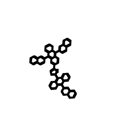 C1=CCC2CCC(c3c4ccccc4c(-c4ccc(-c5ccc6c(c5)=C(c5ccc7ccccc7c5)C5=CC=CCC5C=6c5ccc6ccccc6c5)s4)c4ccccc34)=CC2=C1